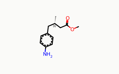 COC(=O)C[C@@H](C)Cc1ccc(N)cc1